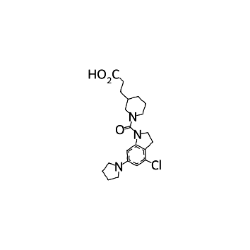 O=C(O)CCC1CCCN(C(=O)N2CCc3c(Cl)cc(N4CCCC4)cc32)C1